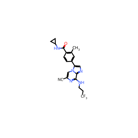 Cc1cc(-c2cnc3c(NCCC(F)(F)F)nc(C#N)cn23)ccc1C(=O)NC1CC1